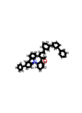 c1ccc(-c2cccc(-c3cccc(-c4ccc5c(c4)oc4cccc(-n6c7ccccc7c7cc(-c8ccccc8)ccc76)c45)c3)c2)cc1